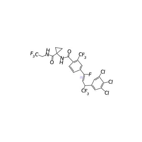 O=C(NC1(C(=O)NCC(F)(F)F)CC1)c1ccc(/C(F)=C/C(c2cc(Cl)c(Cl)c(Cl)c2)C(F)(F)F)cc1C(F)(F)F